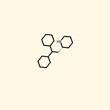 C1CCC(C(C[C@H]2CCCCN2)C2CCCCC2)CC1